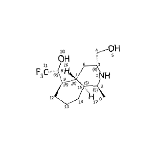 C[C@@H]1N[C@@H](CO)C[C@H]2[C@H]([C@@H](O)C(F)(F)F)CCC[C@@H]21